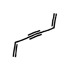 C=CC#CC=C